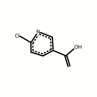 C=C(O)c1ccc(Cl)nc1